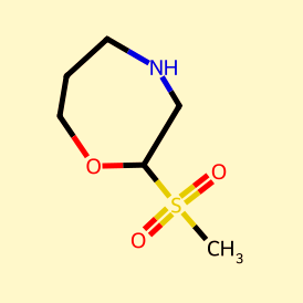 CS(=O)(=O)C1CNCCCO1